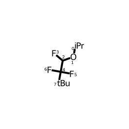 CC(C)OC(F)C(F)(F)C(C)(C)C